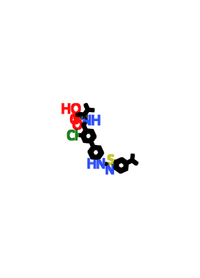 CC(C)c1ccc2nc(Nc3ccc(-c4ccc(C(=O)N[C@H](C(=O)O)C(C)C)c(Cl)c4)cc3)sc2c1